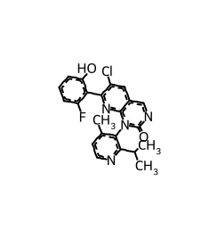 Cc1ccnc(C(C)C)c1-n1c(=O)ncc2cc(Cl)c(-c3c(O)cccc3F)nc21